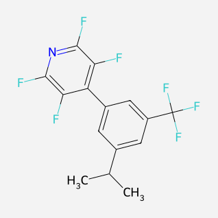 CC(C)c1cc(-c2c(F)c(F)nc(F)c2F)cc(C(F)(F)F)c1